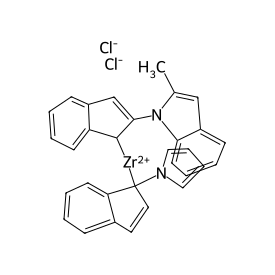 Cc1cc2ccccc2n1C1=Cc2ccccc2[CH]1[Zr+2][C]1(n2cccc2)C=Cc2ccccc21.[Cl-].[Cl-]